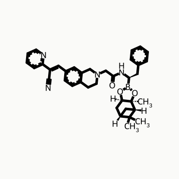 CC1(C)[C@@H]2C[C@H]3OB([C@H](Cc4ccccc4)NC(=O)CN4CCc5ccc(C=C(C#N)c6ccccn6)cc5C4)O[C@@]3(C)[C@H]1C2